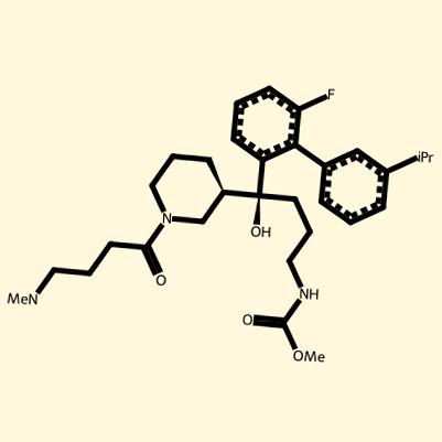 CNCCCC(=O)N1CCC[C@@H]([C@@](O)(CCCNC(=O)OC)c2cccc(F)c2-c2cccc(C(C)C)c2)C1